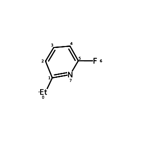 C[CH]c1cccc(F)n1